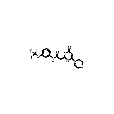 O=C(Cc1nc(N2CCOCC2)cc(=O)[nH]1)Nc1cccc(OC(F)(F)F)c1